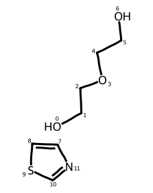 OCCOCCO.c1cscn1